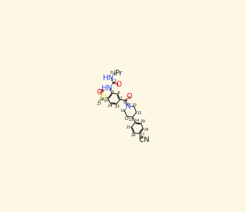 CC(C)NC(=O)Nc1cc(C(=O)N2CCC(c3ccc(C#N)cc3)CC2)ccc1[S+](C)[O-]